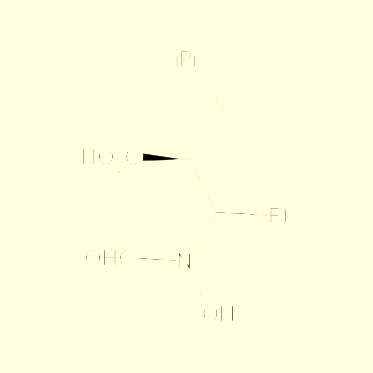 CCC([C@H](CC(C)C)C(=O)O)N(O)C=O